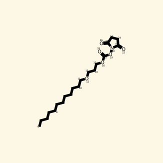 CCCCCCCCCCCCOCCCOC(=O)ON1C(=O)CCC1=O